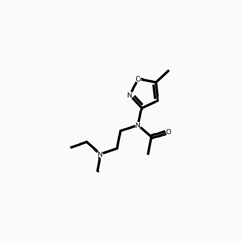 CCN(C)CCN(C(C)=O)c1cc(C)on1